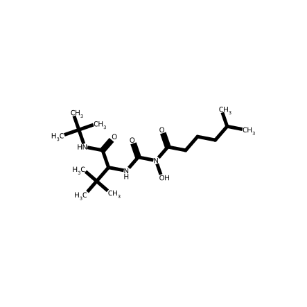 CC(C)CCCC(=O)N(O)C(=O)NC(C(=O)NC(C)(C)C)C(C)(C)C